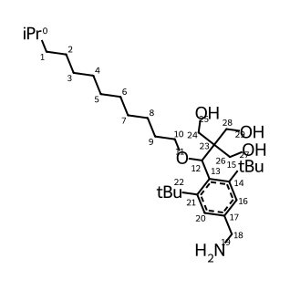 CC(C)CCCCCCCCCCOC(c1c(C(C)(C)C)cc(CN)cc1C(C)(C)C)C(CO)(CO)CO